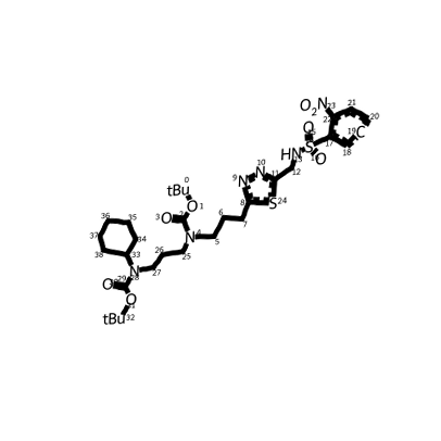 CC(C)(C)OC(=O)N(CCCc1nnc(CNS(=O)(=O)c2ccccc2[N+](=O)[O-])s1)CCCN(C(=O)OC(C)(C)C)C1CCCCC1